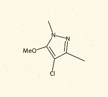 COc1c(Cl)c(C)nn1C